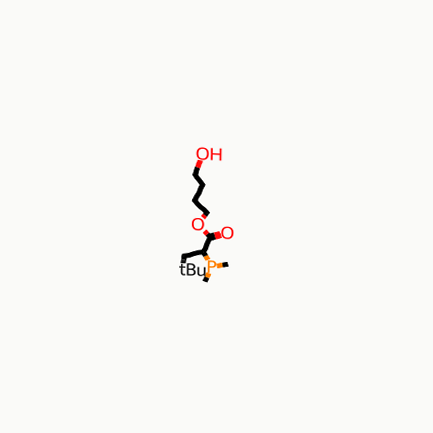 CP(C)C(CC(C)(C)C)C(=O)OCCCCO